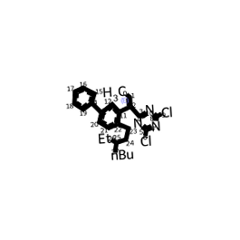 C/C=C(/c1nc(Cl)nc(Cl)n1)c1cc(-c2ccccc2)ccc1CCC(CC)CCCC